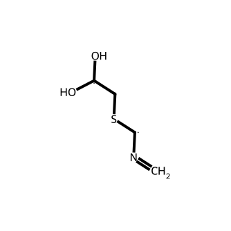 C=N[CH]SC[C](O)O